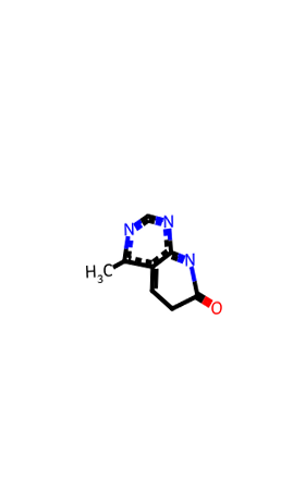 Cc1ncnc2c1=CCC(=O)N=2